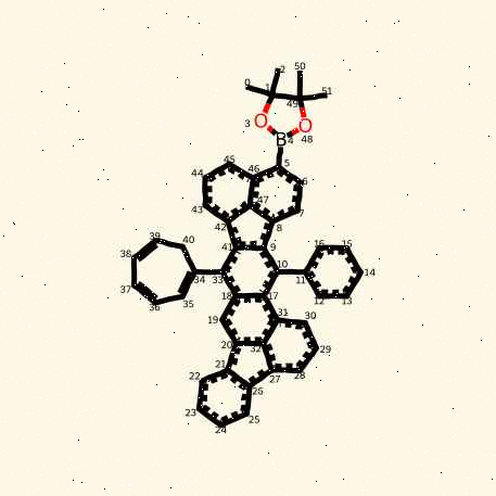 CC1(C)OB(c2ccc3c4c(-c5ccccc5)c5c(cc6c7ccccc7c7cccc5c76)c(C5=CC=CC=CC5)c4c4cccc2c43)OC1(C)C